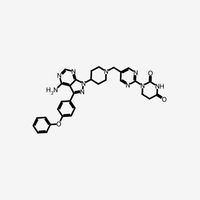 Nc1ncnc2c1c(-c1ccc(Oc3ccccc3)cc1)nn2C1CCN(Cc2cnc(N3CCC(=O)NC3=O)nc2)CC1